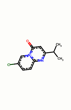 CC(C)c1cc(=O)n2cc(Cl)ccc2n1